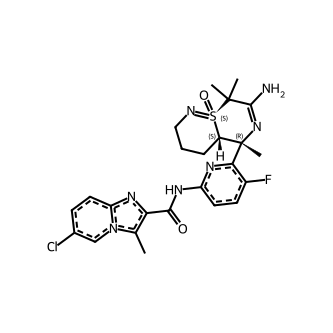 Cc1c(C(=O)Nc2ccc(F)c([C@@]3(C)N=C(N)C(C)(C)[S@]4(=O)=NCCC[C@@H]34)n2)nc2ccc(Cl)cn12